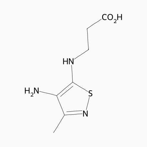 Cc1nsc(NCCC(=O)O)c1N